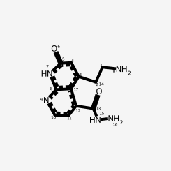 NCCc1cc(=O)[nH]c2nccc(C(=O)NN)c12